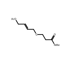 CNC(=O)CCOC/C=C/COC(C)=O